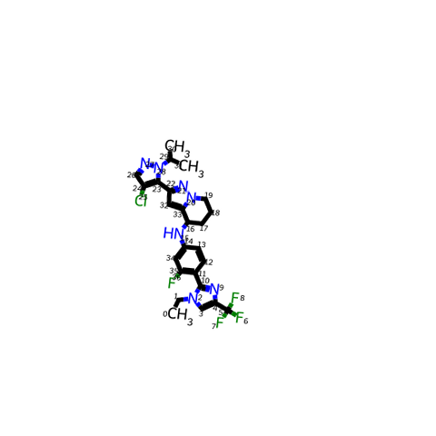 CCn1cc(C(F)(F)F)nc1-c1ccc(NC2CCCn3nc(-c4c(Cl)cnn4C(C)C)cc32)cc1F